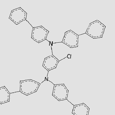 Clc1cc(N(c2ccc(-c3ccccc3)cc2)c2ccc(-c3ccccc3)cc2)ccc1N(c1ccc(-c2ccccc2)cc1)c1ccc(-c2ccccc2)cc1